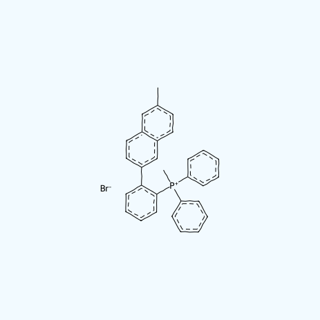 Cc1ccc2cc(-c3ccccc3[P+](C)(c3ccccc3)c3ccccc3)ccc2c1.[Br-]